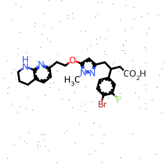 Cn1nc(CC(CC(=O)O)c2ccc(Br)c(F)c2)cc1OCCc1ccc2c(n1)NCCC2